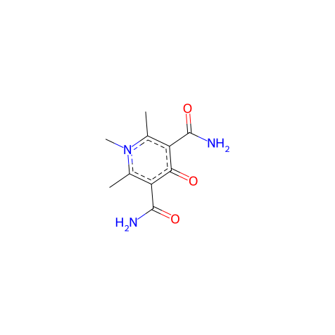 Cc1c(C(N)=O)c(=O)c(C(N)=O)c(C)n1C